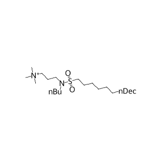 CCCCCCCCCCCCCCCCS(=O)(=O)N(CCCC)CCC[N+](C)(C)C